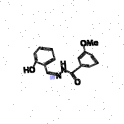 COc1cccc(C(=O)N/N=C\c2ccccc2O)c1